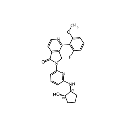 COc1cccc(F)c1-c1nccc2c1CN(c1cccc(N[C@H]3CCC[C@H]3O)n1)C2=O